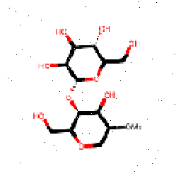 COC1COC(CO)[C@@H](O[C@H]2OC(CO)[C@@H](O)C(O)C2O)C1O